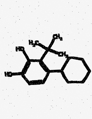 CC(C)(C)c1c(C2CCCCC2)ccc(O)c1O